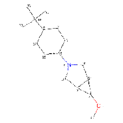 COC1C2CN(C3CCC(C(C)(C)C)CC3)CC21